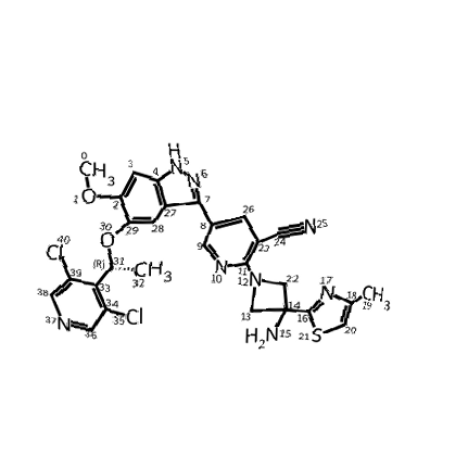 COc1cc2[nH]nc(-c3cnc(N4CC(N)(c5nc(C)cs5)C4)c(C#N)c3)c2cc1O[C@H](C)c1c(Cl)cncc1Cl